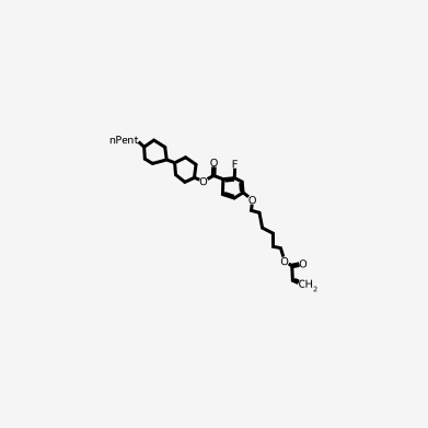 C=CC(=O)OCCCCCCOc1ccc(C(=O)OC2CCC(C3CCC(CCCCC)CC3)CC2)c(F)c1